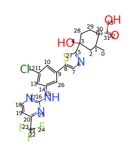 CC1CC(O)(c2ncc(-c3cc(Cl)cc(Nc4nccc(C(F)(F)F)n4)c3)s2)CC[C@@H]1C(=O)O